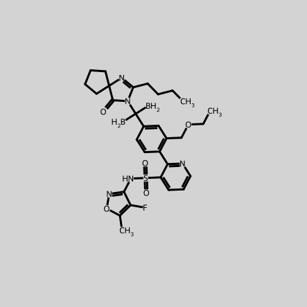 BC(B)(c1ccc(-c2ncccc2S(=O)(=O)Nc2noc(C)c2F)c(COCC)c1)N1C(=O)C2(CCCC2)N=C1CCCC